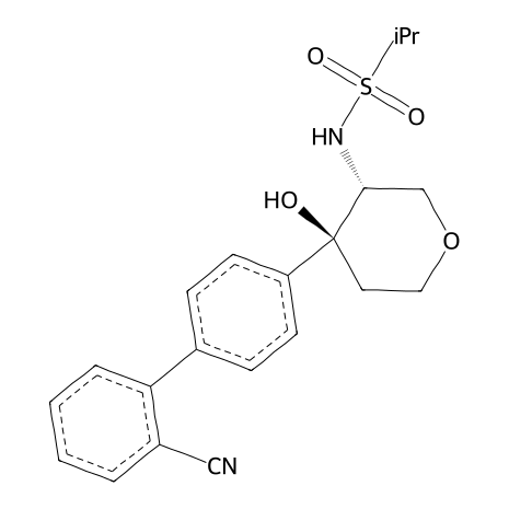 CC(C)S(=O)(=O)N[C@@H]1COCC[C@]1(O)c1ccc(-c2ccccc2C#N)cc1